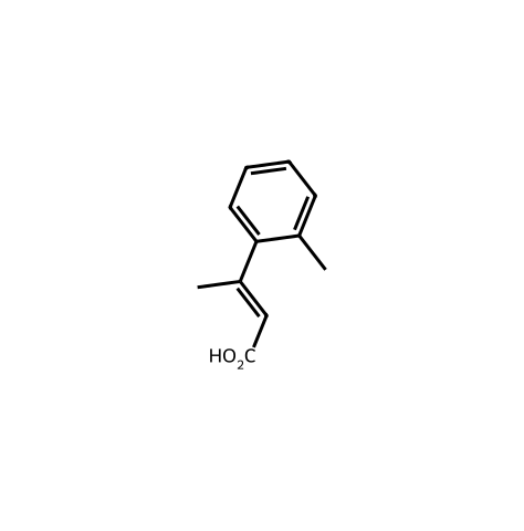 CC(=CC(=O)O)c1ccccc1C